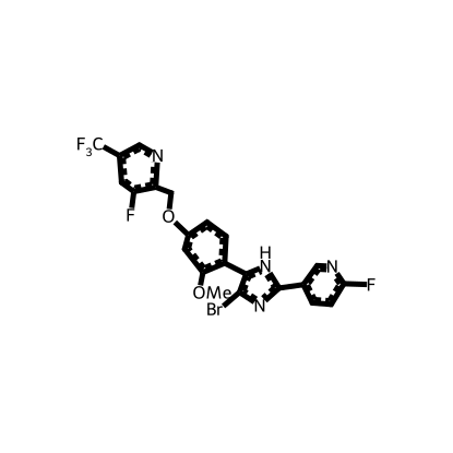 COc1cc(OCc2ncc(C(F)(F)F)cc2F)ccc1-c1[nH]c(-c2ccc(F)nc2)nc1Br